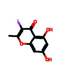 Cc1oc2cc(O)cc(O)c2c(=O)c1I